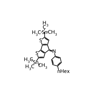 CCCCCCc1ccc(N=C2c3c[c]([Sn]([CH3])([CH3])[CH3])sc3-c3s[c]([Sn]([CH3])([CH3])[CH3])cc32)cc1